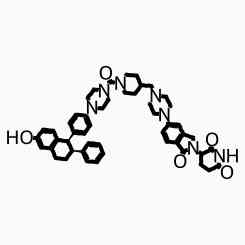 O=C1CCC(N2Cc3cc(N4CCN(CC5CCN(C(=O)N6CCN(c7ccc([C@@H]8c9ccc(O)cc9CC[C@@H]8c8ccccc8)cc7)CC6)CC5)CC4)ccc3C2=O)C(=O)N1